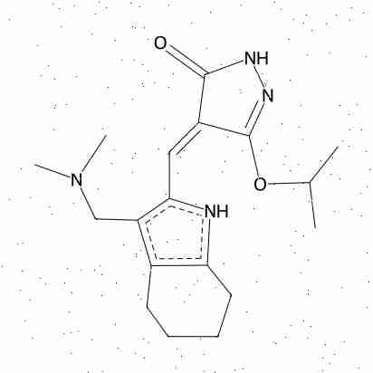 CC(C)OC1=NNC(=O)/C1=C/c1[nH]c2c(c1CN(C)C)CCCC2